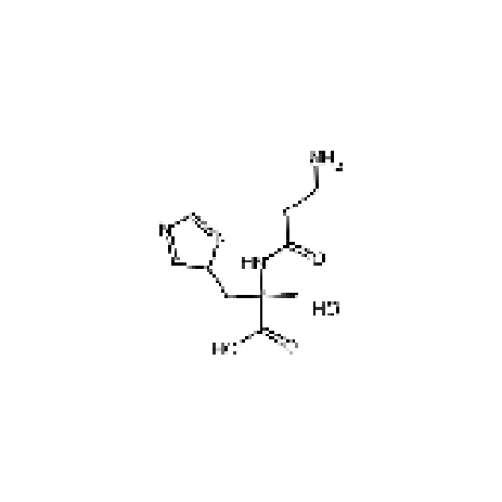 C[C@@](CC1C=NC=N1)(NC(=O)CCN)C(=O)O.Cl